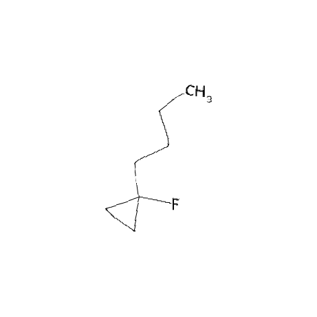 CCCCC1(F)CC1